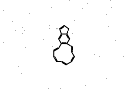 [C]1=CCc2cc3c(cc21)/C=C/C=C\C=C\C=C/C=C/3